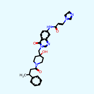 CC(CC(=O)N1CCC(O)(Cn2cnc3cc(NC(=O)C=Cn4ccnc4)ccc3c2=O)CC1)c1ccccc1